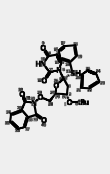 CC(C)(C)O[C@H]1C[C@@](n2ccc(=O)[nH]c2=O)([SiH](c2ccccc2)c2ccccc2)O[C@@H]1CON1C(=O)c2ccccc2C1=O